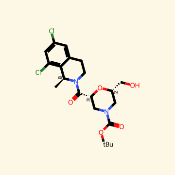 C[C@H]1c2c(Cl)cc(Cl)cc2CCN1C(=O)[C@H]1CN(C(=O)OC(C)(C)C)C[C@@H](CO)O1